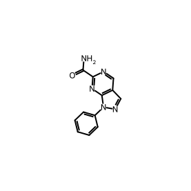 NC(=O)c1ncc2cnn(-c3ccccc3)c2n1